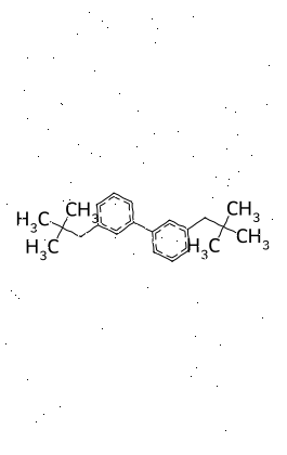 CC(C)(C)Cc1cccc(-c2cccc(CC(C)(C)C)c2)c1